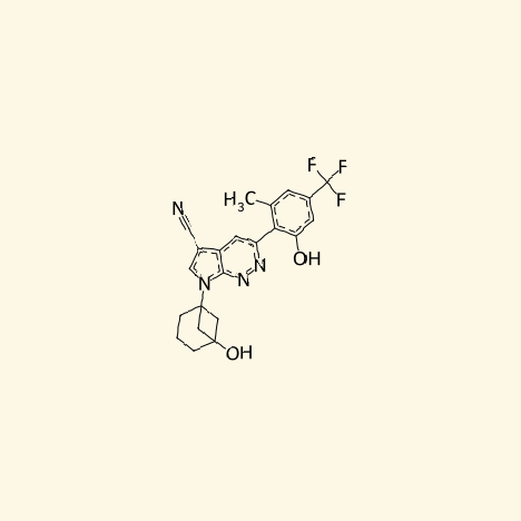 Cc1cc(C(F)(F)F)cc(O)c1-c1cc2c(C#N)cn(C34CCCC(O)(C3)C4)c2nn1